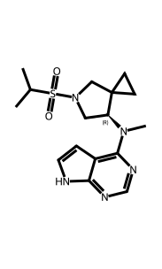 CC(C)S(=O)(=O)N1C[C@H](N(C)c2ncnc3[nH]ccc23)C2(CC2)C1